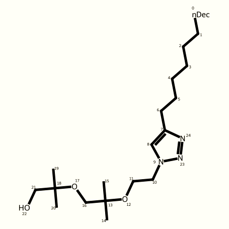 CCCCCCCCCCCCCCCCc1cn(CCOC(C)(C)COC(C)(C)CO)nn1